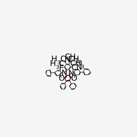 CN1C(C)(C)c2c(F)c(N3c4ccc(-c5ccccc5)cc4Oc4cc(-c5ccccc5)ccc43)c(N3c4ccc(-c5ccccc5)cc4Oc4cc(-c5ccccc5)ccc43)c(C#N)c2C1(C)C